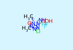 C/C=C/Cn1c(=O)n(C)c2nc(Cl)nc(N3CCNCC3)c21.O=C(O)C(F)(F)F